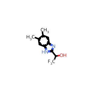 Cc1cc2nc(C(O)C(F)(F)F)[nH]c2cc1C